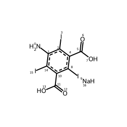 Nc1c(I)c(C(=O)O)c(I)c(C(=O)O)c1I.[NaH]